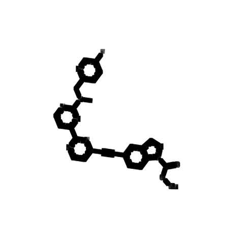 CN(Cc1ccc(F)cn1)c1nccc(-c2nccc(C#Cc3ccc4c(cnn4C(=O)OC(C)(C)C)c3)n2)n1